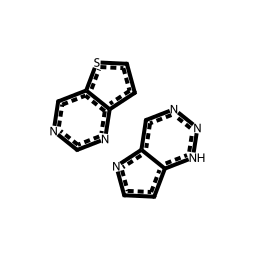 c1cc2[nH]nncc-2n1.c1ncc2sccc2n1